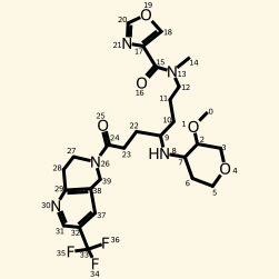 COC1COCCC1NC(CCCN(C)C(=O)c1cocn1)CCC(=O)N1CCc2ncc(C(F)(F)F)cc2C1